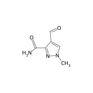 Cn1cc(C=O)c(C(N)=O)n1